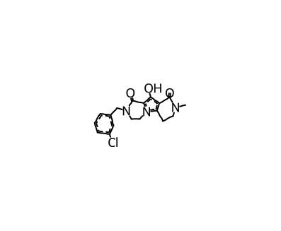 CN1CCc2c(c(O)c3n2CCN(Cc2cccc(Cl)c2)C3=O)C1=O